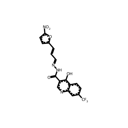 O=C(NN=CC=Cc1ccc([N+](=O)[O-])o1)c1cnc2cc(C(F)(F)F)ccc2c1O